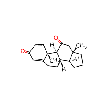 C[C@@]12CCC[C@H]1[C@@H]1CCC3=CC(=O)C=C[C@]3(C)[C@H]1C(=O)C2